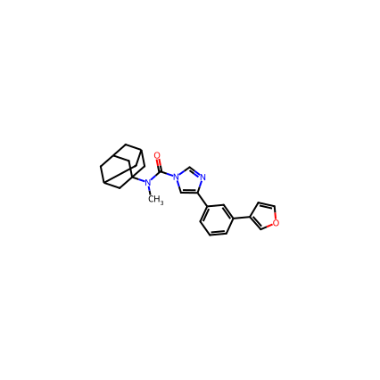 CN(C(=O)n1cnc(-c2cccc(-c3ccoc3)c2)c1)C12CC3CC(CC(C3)C1)C2